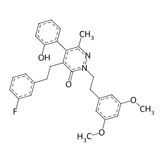 COc1cc(CCn2nc(C)c(-c3ccccc3O)c(CCc3cccc(F)c3)c2=O)cc(OC)c1